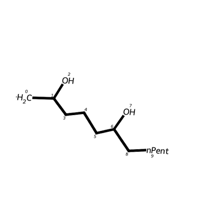 [CH2]C(O)CCCC(O)CCCCCC